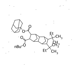 CCCCOC(=O)C1C2CC(C1C(=O)OC13CC4CC(CC(C4)C1)C3)C1C3CC(C21)C(C(C)(C)CC)C3C(C)(C)CC